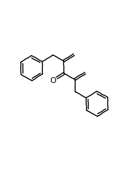 C=C(Cc1ccccc1)C(=O)C(=C)Cc1ccccc1